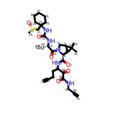 C#CCCC(NC(=O)[C@@H]1C2C(CN1C(=O)[C@@H](NC(=O)NC1(C[S+](C)[O-])CCCCC1)C(C)(C)C)C2(C)C)C(=O)C(=O)NCC#C